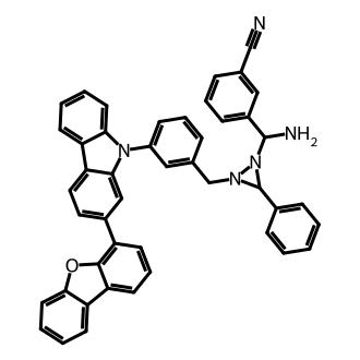 N#Cc1cccc(C(N)N2C(c3ccccc3)N2Cc2cccc(-n3c4ccccc4c4ccc(-c5cccc6c5oc5ccccc56)cc43)c2)c1